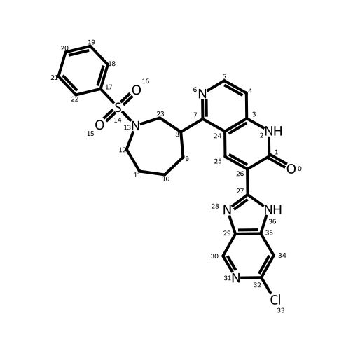 O=c1[nH]c2ccnc(C3CCCCN(S(=O)(=O)c4ccccc4)C3)c2cc1-c1nc2cnc(Cl)cc2[nH]1